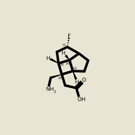 NC[C@@]1(CC(=O)O)[C@@H]2C[C@H](F)C3CC[C@H]1[C@@H]32